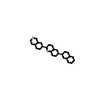 c1ccc2cc(-c3ccc4nc(-c5ccc6ccncc6c5)ccc4c3)ccc2c1